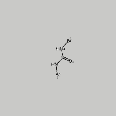 CC(=O)NC(=O)NBr